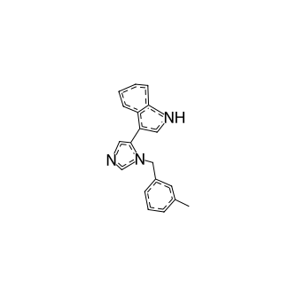 Cc1cccc(Cn2cncc2-c2c[nH]c3ccccc23)c1